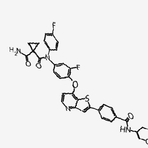 NC(=O)C1(C(=O)N(c2ccc(F)cc2)c2ccc(Oc3ccnc4cc(-c5ccc(C(=O)NC(CO)CO)cc5)sc34)c(F)c2)CC1